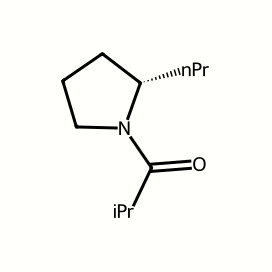 CCC[C@H]1CCCN1C(=O)C(C)C